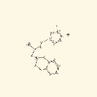 OC(CN1CCc2ccccc2C1)OCc1ccc(Br)c(F)c1